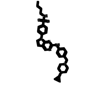 CCCCNS(=O)(=O)c1ccc(-n2ccc3cnc(Nc4ccc(CN5CCN(C6CC6)CC5)cc4)nc32)cc1